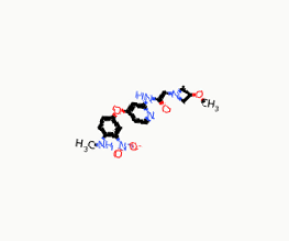 CNc1ccc(Oc2ccnc(NC(=O)CN3CC(OC)C3)c2)cc1[N+](=O)[O-]